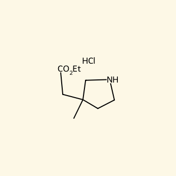 CCOC(=O)CC1(C)CCNC1.Cl